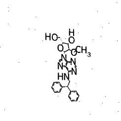 CO[C@@H]1[C@H](O)[C@@H](CO)O[C@H]1n1cnc2c(NCC(c3ccccc3)c3ccccc3)ncnc21